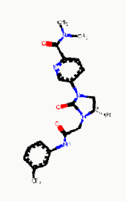 CC(C)[C@H]1CN(c2ccc(C(=O)N(C)C)nc2)C(=O)N1CC(=O)Nc1cccc(C(F)(F)F)c1